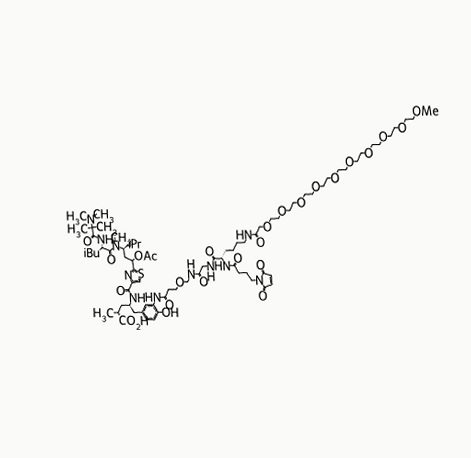 CC[C@H](C)[C@H](NC(=O)C(C)(C)N(C)C)C(=O)N(C)[C@H](C[C@@H](OC(C)=O)c1nc(C(=O)N[C@@H](Cc2ccc(O)c(NC(=O)CCOCNC(=O)CNC(=O)[C@H](CCCCNC(=O)COCCOCCOCCOCCOCCOCCOCCOCCOCCOC)NC(=O)CCCN3C(=O)C=CC3=O)c2)C[C@H](C)C(=O)O)cs1)C(C)C